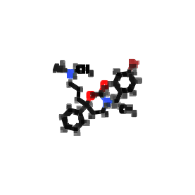 CC(=O)N(C)CCCC1(c2ccccc2)CCN([C@@H](C)c2ccc(Br)cc2)C(=O)O1